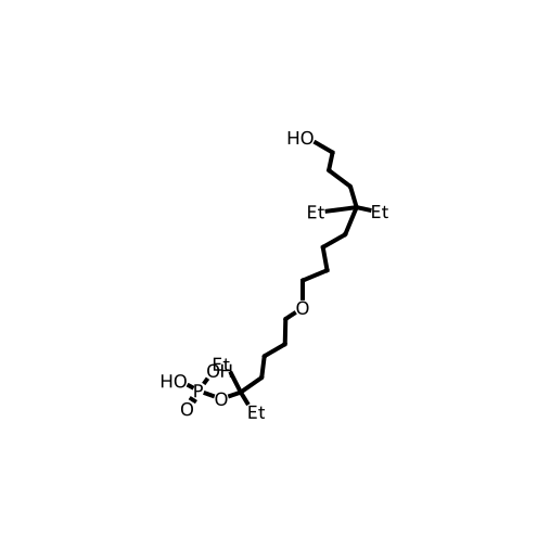 CCC(CC)(CCCO)CCCCOCCCCC(CC)(CC)OP(=O)(O)O